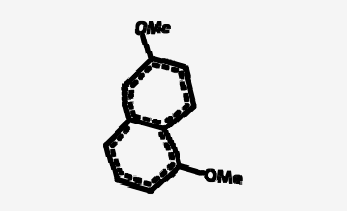 COc1ccc2c(OC)cccc2c1